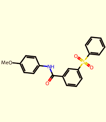 COc1ccc(NC(=O)c2cccc(S(=O)(=O)c3ccccc3)c2)cc1